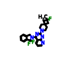 CC1(F)CC2(CCN(c3nc(N4Cc5ccccc5C4(F)F)c4cccnc4n3)CC2)C1